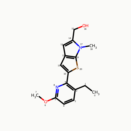 CCc1ccc(OC)nc1-c1cc2cc(CO)n(C)c2s1